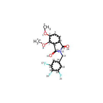 COc1ccc2c(c1OC)C(=O)N(Cc1cc(F)c(F)c(F)c1)C2=O